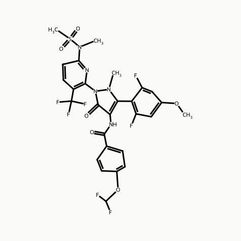 COc1cc(F)c(-c2c(NC(=O)c3ccc(OC(F)F)cc3)c(=O)n(-c3nc(N(C)S(C)(=O)=O)ccc3C(F)(F)F)n2C)c(F)c1